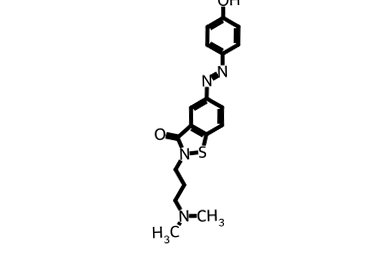 CN(C)CCCn1sc2ccc(N=Nc3ccc(O)cc3)cc2c1=O